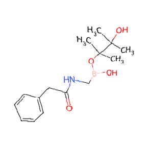 CC(C)(O)C(C)(C)OB(O)CNC(=O)Cc1ccccc1